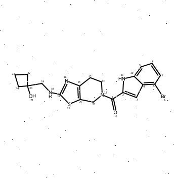 O=C(c1cc2c(Br)cccc2[nH]1)N1CCc2nc(NCC3(O)CCC3)sc2C1